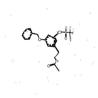 CC(=O)OCCc1cc(OCc2ccccc2)cc(OS(=O)(=O)C(F)(F)F)c1